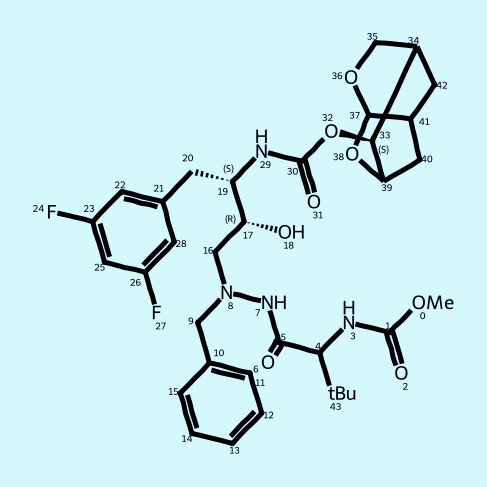 COC(=O)NC(C(=O)NN(Cc1ccccc1)C[C@@H](O)[C@H](Cc1cc(F)cc(F)c1)NC(=O)O[C@H]1C2COC3OC1CC3C2)C(C)(C)C